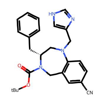 CC(C)(C)OC(=O)N1Cc2cc(C#N)ccc2N(Cc2c[nH]cn2)C[C@H]1Cc1ccccc1